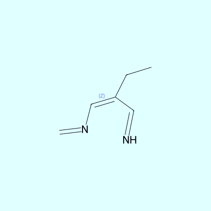 C=N/C=C(\C=N)CC